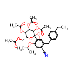 CCc1ccc(Cc2cc([C@]3(O)O[C@H](COC(C)=O)[C@@H](OC(C)=O)[C@H](OC(C)=O)[C@H]3OC(C)=O)c(OC(C)C)cc2C#N)cc1